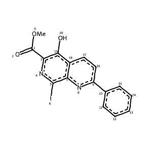 COC(=O)c1nc(I)c2nc(-c3ccccc3)ccc2c1O